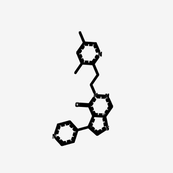 Cc1cnc(CCn2ncc3scc(-c4ccncc4)c3c2=O)c(C)c1